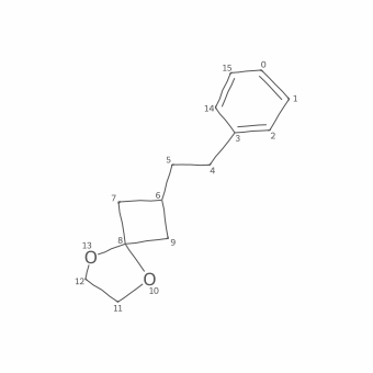 c1ccc(CCC2CC3(C2)OCCO3)cc1